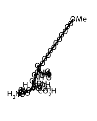 COCCOCCOCCOCCOCCOCCOCCOCCOCCOCCOCCOCCC(=O)N1CC(CNC(=O)CCN2C(=O)C=CC2=O)(OCC(=O)NCCC(=O)NCc2cc(COC(=O)N[C@H]3CO[C@H]4[C@@H]3OC[C@@H]4N)ccc2O[C@@H]2O[C@H](C(=O)O)[C@@H](O)[C@H](O)[C@H]2O)C1